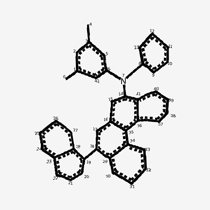 Cc1cc(C)cc(N(c2ccccc2)c2cc3cc(-c4cccc5ccccc45)c4ccccc4c3c3ccccc23)c1